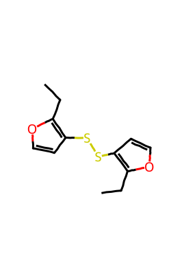 CCc1occc1SSc1ccoc1CC